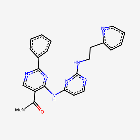 CNC(=O)c1cnc(-c2ccccc2)nc1Nc1ccnc(NCCc2ccccn2)n1